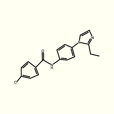 CCc1nccn1-c1ccc(NC(=O)c2ccc(Cl)cc2)cc1